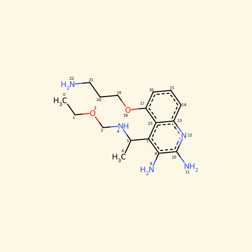 CCOCNC(C)c1c(N)c(N)nc2cccc(OCCCN)c12